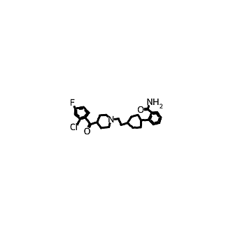 NC(=O)c1ccccc1C1CCC(CCN2CCC(C(=O)c3ccc(F)cc3Cl)CC2)CC1